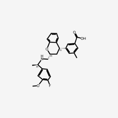 COc1cc([C@@H](C)NC[C@H]2C[C@@H](c3cc(C)cc(C(=O)O)c3)c3ccccc3O2)ccc1F